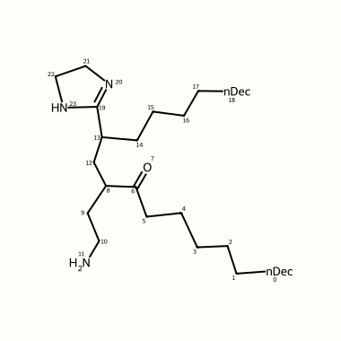 CCCCCCCCCCCCCCCC(=O)C(CCN)CC(CCCCCCCCCCCCCC)C1=NCCN1